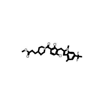 COC(=O)CCC1CCN(C(=O)c2ccc(Cl)c(Cc3cc4c(C)cc(C(C)(F)F)cc4n3C)c2Cl)CC1